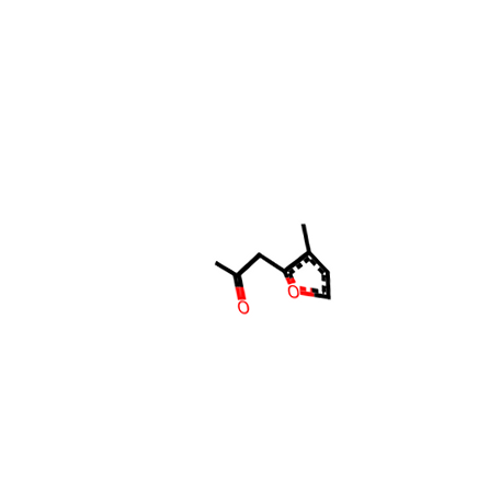 CC(=O)Cc1occc1C